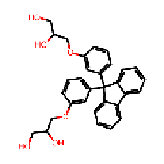 OCC(O)COc1cccc(C2(c3cccc(OCC(O)CO)c3)c3ccccc3-c3ccccc32)c1